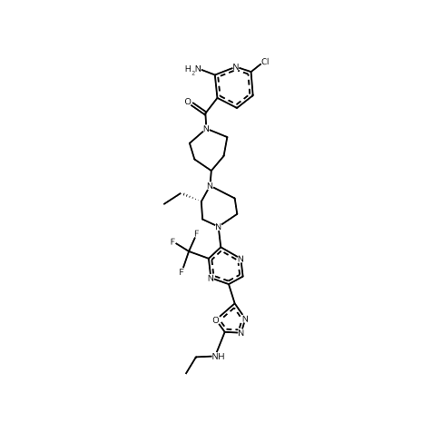 CCNc1nnc(-c2cnc(N3CCN(C4CCN(C(=O)c5ccc(Cl)nc5N)CC4)[C@@H](CC)C3)c(C(F)(F)F)n2)o1